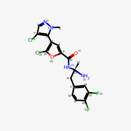 Cn1ncc(Cl)c1-c1cc(C(=O)N[C@](C)(N)Cc2ccc(F)c(F)c2)oc1Cl